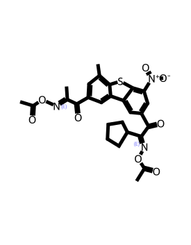 CC(=O)O/N=C(\C)C(=O)c1cc(C)c2sc3c([N+](=O)[O-])cc(C(=O)/C(=N/OC(C)=O)C4CCCC4)cc3c2c1